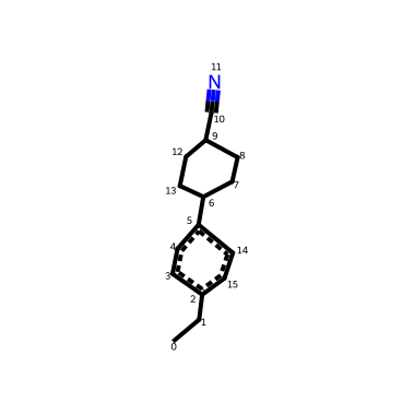 CCc1ccc(C2CCC(C#N)CC2)cc1